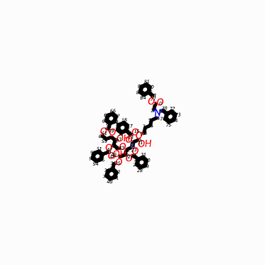 O=C(CN(CCCCCOC(O)/C(OC(=O)c1ccccc1)=C(\OC(=O)c1ccccc1)C(CCOCc1ccccc1)OC(O)C(OC(=O)c1ccccc1)C(O)C1CCOC(c2ccccc2)O1)Cc1ccccc1)OCc1ccccc1